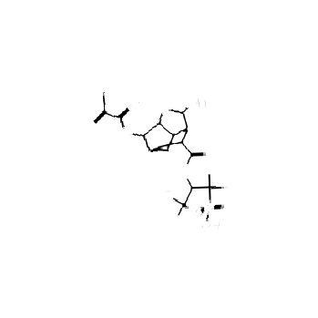 C=C(C)C(=O)OC1C2CC3C1OC(O)C3C2C(=O)OC(C(F)(F)F)C(F)(F)S(=O)(=O)O